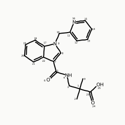 CC(C)(CNC(=O)c1cn(Cc2ccccn2)c2ccccc12)C(=O)O